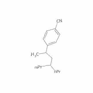 CCCC(CCC)CC(C)c1ccc(C#N)cc1